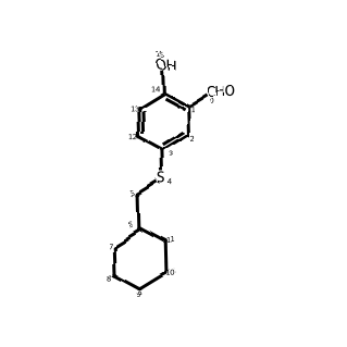 O=Cc1cc(SCC2CCCCC2)ccc1O